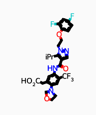 CC(C)c1c(C(=O)Nc2cc(CC(=O)O)c(N3CCOC3)cc2C(F)(F)F)cnn1CCOc1ccc(F)cc1F